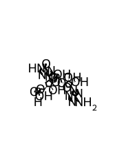 Nc1ncnc2c1ncn2[C@@H]1O[C@H](OCP(=O)(O)O[C@H]2[C@@H](O)[C@@H](CO[PH](=O)O)C[C@H]2n2cnc3c(=O)[nH]cnc32)[C@H](O)[C@@H]1O